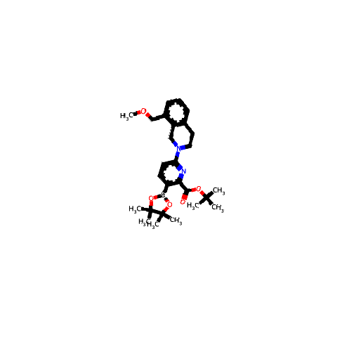 COCc1cccc2c1CN(c1ccc(B3OC(C)(C)C(C)(C)O3)c(C(=O)OC(C)(C)C)n1)CC2